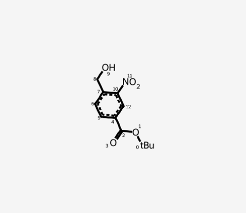 CC(C)(C)OC(=O)c1ccc(CO)c([N+](=O)[O-])c1